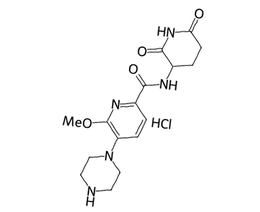 COc1nc(C(=O)NC2CCC(=O)NC2=O)ccc1N1CCNCC1.Cl